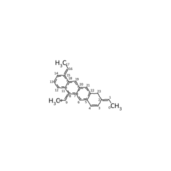 CC=C1C=Cc2cc3c(=CC)c4cccc(=CC)c4cc3cc2C1